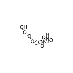 O=C1CCC(N2Cc3cc(OCCOCCOCCO)ccc3C2=O)C(=O)N1